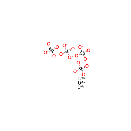 [O]=[Sb]([O-])([O-])[O-].[O]=[Sb]([O-])([O-])[O-].[O]=[Sb]([O-])([O-])[O-].[O]=[Sb]([O-])([O-])[O-].[U+4].[U+4].[U+4]